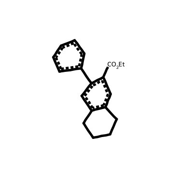 CCOC(=O)c1cc2c(cc1-c1ccccc1)CCCC2